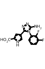 Nc1nnc(-c2c[nH]c(C(=O)O)c2)n1-c1cccc(F)c1F